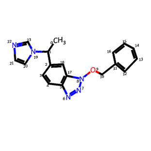 CC(c1ccc2nnn(OCc3ccccc3)c2c1)n1ccnc1